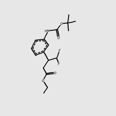 CCOC(=O)CC(c1cccc(NC(=O)OC(C)(C)C)c1)C(F)F